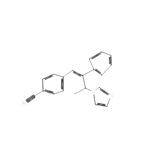 CC(C(=Cc1ccc(C#N)cc1)c1ccccc1)n1ccnc1